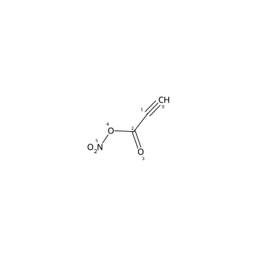 C#CC(=O)O[N+](=O)[O-]